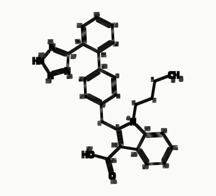 CCCCn1c(Cc2ccc(-c3ccccc3-c3nn[nH]n3)cc2)c(C(=O)O)c2ccccc21